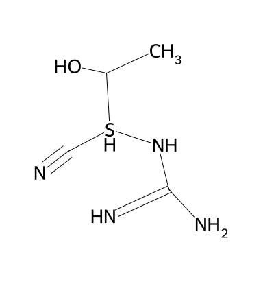 CC(O)[SH](C#N)NC(=N)N